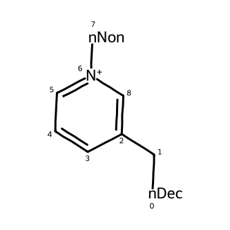 CCCCCCCCCCCc1ccc[n+](CCCCCCCCC)c1